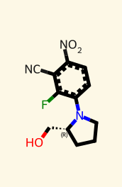 N#Cc1c([N+](=O)[O-])ccc(N2CCC[C@@H]2CO)c1F